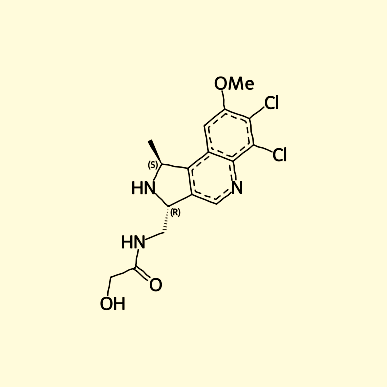 COc1cc2c3c(cnc2c(Cl)c1Cl)[C@H](CNC(=O)CO)N[C@H]3C